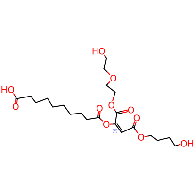 O=C(O)CCCCCCCCC(=O)O/C(=C/C(=O)OCCCCO)C(=O)OCCOCCO